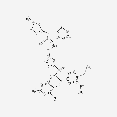 COc1ccc([C@H](Cc2c(Cl)c[n+](C)cc2Cl)OC(=O)c2ccc(CNC(C(=O)O[C@H]3CCN(C)C3)c3ccccc3)s2)cc1OC